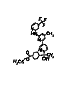 CSCOC(=O)C1CCC([C@@](C)(O)c2ccc(-c3cc(C)cc(Nc4cc(C(F)(F)F)ccn4)n3)cn2)CC1